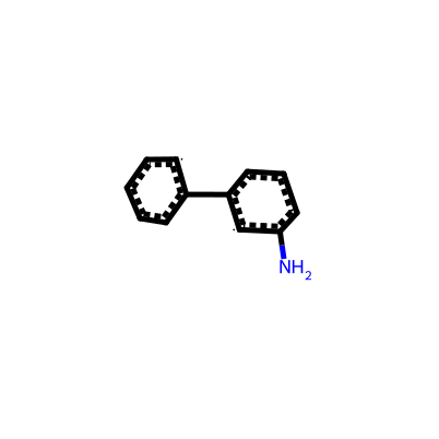 Nc1[c]c(-c2[c]cccc2)ccc1